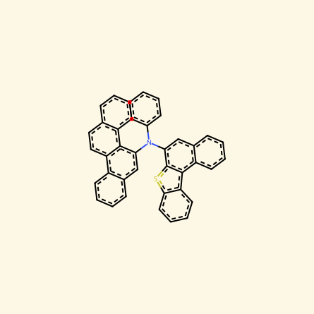 c1ccc(N(c2cc3ccccc3c3c2sc2ccccc23)c2cc3ccccc3c3ccc4ccccc4c23)cc1